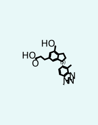 Cc1c([C@H]2CCc3c(CO)cc(CCC(=O)O)cc32)ccc2c1nnn2C